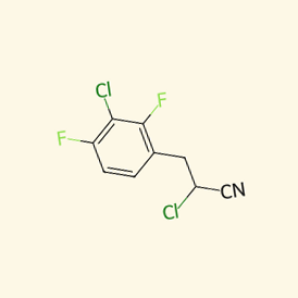 N#CC(Cl)Cc1ccc(F)c(Cl)c1F